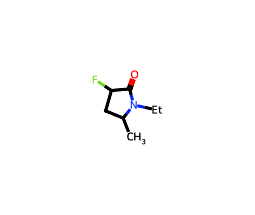 CCN1C(=O)C(F)CC1C